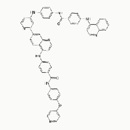 O=C(Nc1ccc(Nc2ccnc(-c3ccc4c(Nc5ccc(C(=O)Nc6ccc(Oc7ccncc7)cc6)cc5)ccnc4c3)c2)cc1)c1ccc(Nc2ccnc3ccccc23)cc1